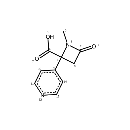 CN1C(=O)CC1(C(=O)O)c1ccncc1